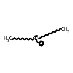 CCCCCCCCCCCCCN1C=CN(CCCCCCCCCCCC)C1Cc1ccccc1